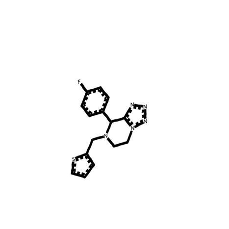 Fc1ccc(C2c3nnnn3CCN2Cc2cccs2)cc1